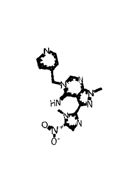 Cn1c([N+](=O)[O-])cnc1-c1nn(C)c2ncn(Cc3ccncc3)c(=N)c12